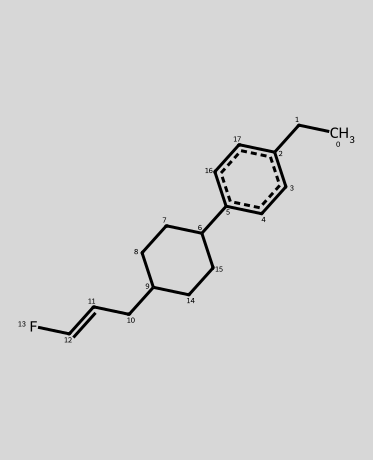 CCc1ccc(C2CCC(CC=CF)CC2)cc1